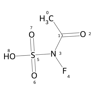 CC(=O)N(F)S(=O)(=O)O